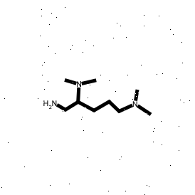 CN(C)CCCC(CN)N(C)C